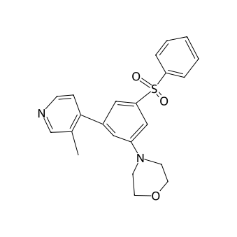 Cc1cnccc1-c1cc(N2CCOCC2)cc(S(=O)(=O)c2ccccc2)c1